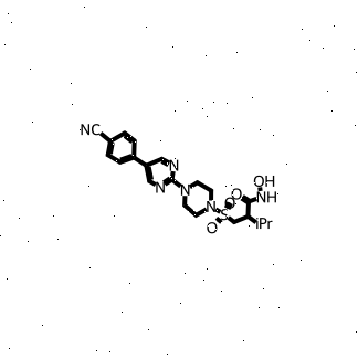 CC(C)C(CS(=O)(=O)N1CCN(c2ncc(-c3ccc(C#N)cc3)cn2)CC1)C(=O)NO